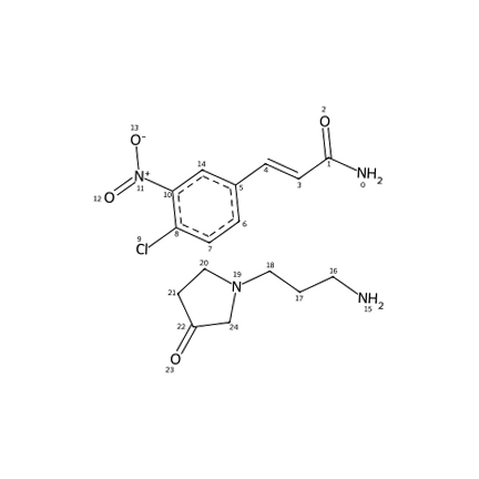 NC(=O)C=Cc1ccc(Cl)c([N+](=O)[O-])c1.NCCCN1CCC(=O)C1